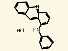 Cl.c1ccc(Nc2cccc3nc4ccccc4cc23)cc1